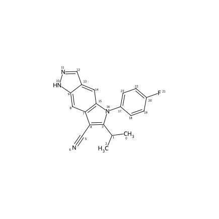 CC(C)c1c(C#N)c2cc3[nH]ncc3cc2n1-c1ccc(F)cc1